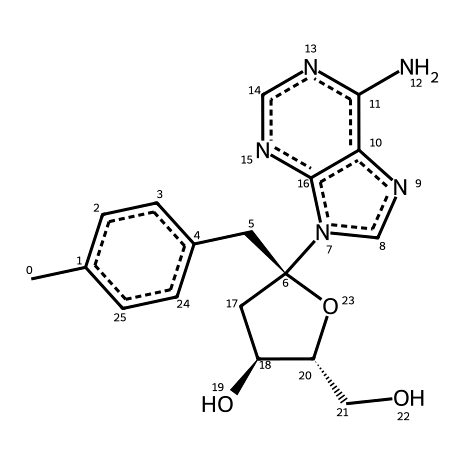 Cc1ccc(C[C@]2(n3cnc4c(N)ncnc43)C[C@H](O)[C@@H](CO)O2)cc1